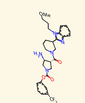 COCCCn1c(C2CCCN(C(=O)[C@@H]3CN(C(=O)Oc4cccc(C(F)(F)F)c4)C[C@H]3N)C2)nc2ccccc21